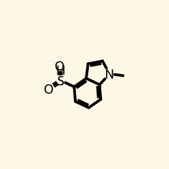 Cn1ccc2c([SH](=O)=O)cccc21